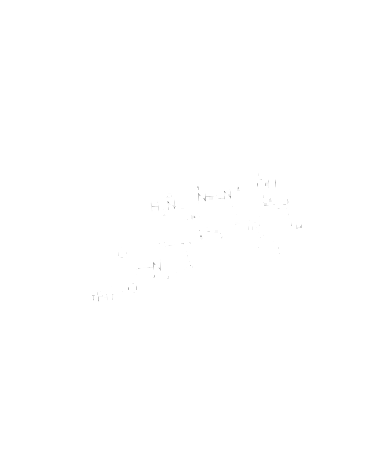 CC(C)(C)OC(=O)N1CCC(c2cc(-c3ccccc3O)nnc2N)C1